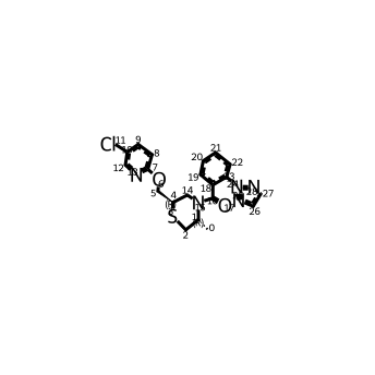 C[C@@H]1CS[C@@H](COc2ccc(Cl)cn2)CN1C(=O)c1ccccc1-n1nccn1